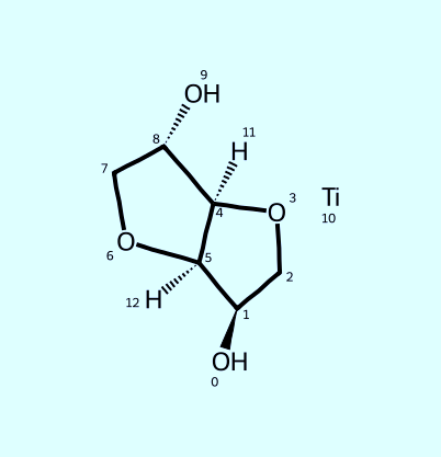 O[C@@H]1CO[C@H]2[C@@H]1OC[C@@H]2O.[Ti]